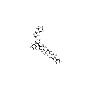 c1ccc(-c2cccc(-c3ccc4c(c3)c3ccccc3n4-c3ccc(-c4ccc(-c5ccc6c(c5)sc5ccccc56)cc4)cc3)c2)cc1